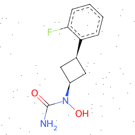 NC(=O)N(O)[C@H]1C[C@@H](c2ccccc2F)C1